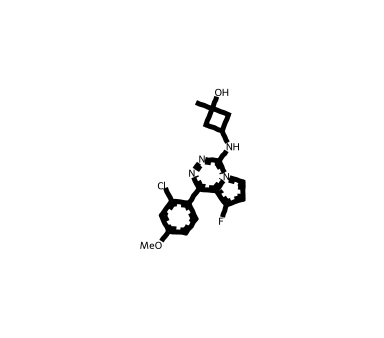 COc1ccc(-c2nnc(NC3CC(C)(O)C3)n3ccc(F)c23)c(Cl)c1